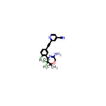 CC1(C)OCC(N)=N[C@](C)(c2cc(C#Cc3cc(C#N)ccn3)ccc2F)C1(F)F